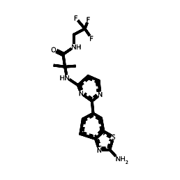 CC(C)(Nc1ccnc(-c2ccc3nc(N)sc3c2)n1)C(=O)NCC(F)(F)F